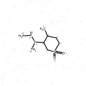 CC1CCS(=O)(=O)CC1P(P)PP